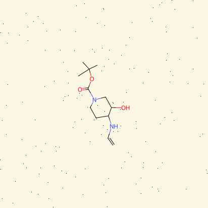 C=CNC1CCN(C(=O)OC(C)(C)C)CC1O